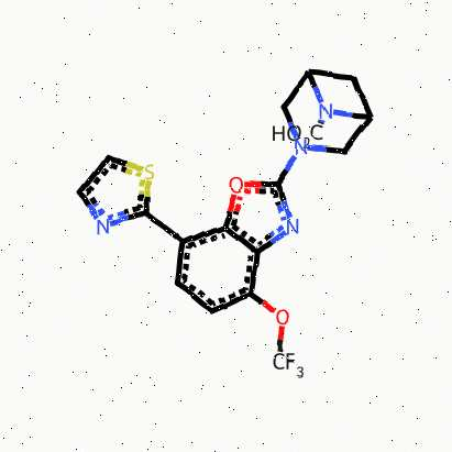 O=C(O)N1C2CC1CN(c1nc3c(OC(F)(F)F)ccc(-c4nccs4)c3o1)C2